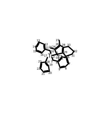 CC[C]1([Ti]([CH2]c2ccccc2)([CH2]c2ccccc2)[CH2]c2ccccc2)C(C)=C(C)C2=C1CCCC2